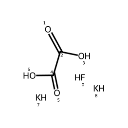 F.O=C(O)C(=O)O.[KH].[KH]